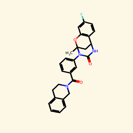 CC12CC(NC(=O)N1c1cccc(C(=O)N3CCc4ccccc4C3)c1)c1ccc(F)cc1O2